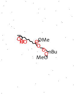 CCCCC(COCCOCC(CCCCC(O)CC1=C[C@H](C)OC1=O)OCOC)OCOC